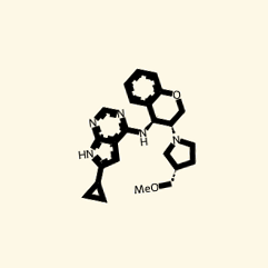 COC[C@H]1CCN([C@H]2COc3ccccc3[C@@H]2Nc2ncnc3[nH]c(C4CC4)cc23)C1